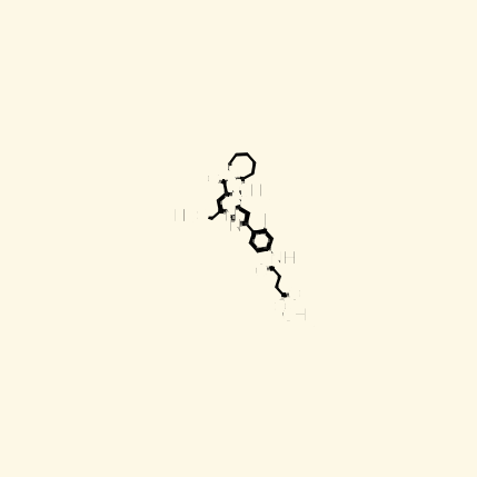 CCc1cc(C(=O)N2CCCCCC2C)nc2cc(-c3ccc(NC(=O)CCC(=O)OC)cc3F)nn12